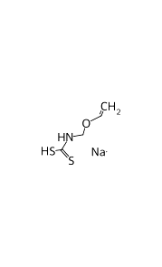 C=COCNC(=S)S.[Na]